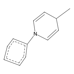 CC1C=CN(c2ccccc2)C=C1